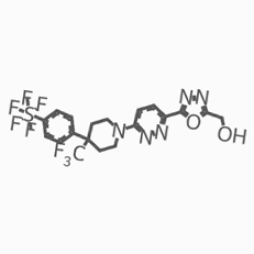 OCc1nnc(-c2ccc(N3CCC(c4ccc(S(F)(F)(F)(F)F)cc4)(C(F)(F)F)CC3)nn2)o1